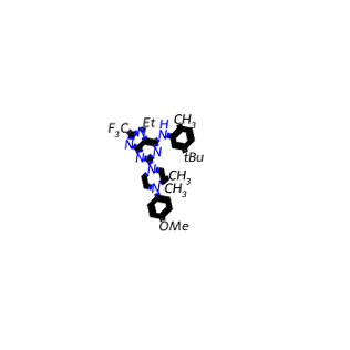 CCn1c(C(F)(F)F)nc2nc(N3CCN(c4ccc(OC)cc4)C(C)(C)C3)nc(Nc3cc(C(C)(C)C)ccc3C)c21